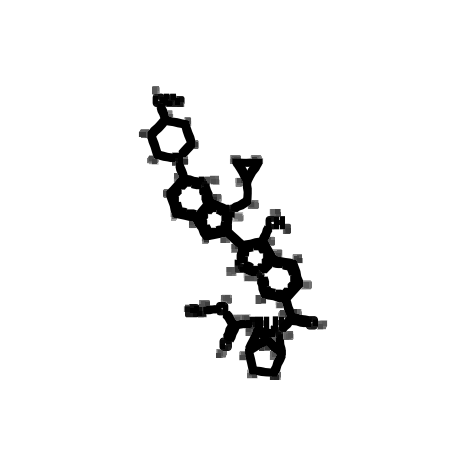 COC1CCN(c2ccc3cc(-c4nn5cc(C(=O)N6CC7CCC6[C@@H]7NC(=O)OC(C)(C)C)ccc5c4C)n(CC4CC4)c3n2)CC1